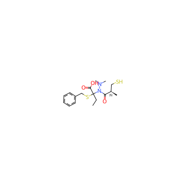 CCC(SCc1ccccc1)(C(=O)O)N(C(=O)[C@H](C)CS)N(C)C